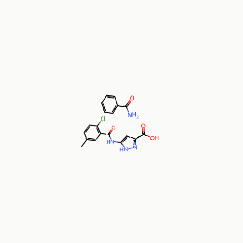 Cc1ccc(Cl)c(C(=O)Nc2cc(C(=O)O)n[nH]2)c1.NC(=O)c1ccccc1